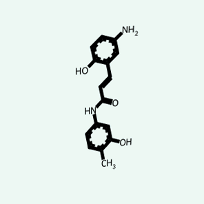 Cc1ccc(NC(=O)C=Cc2cc(N)ccc2O)cc1O